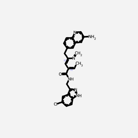 C=N/C(=C\C(=C/C)C(=O)NCc1n[nH]c2ccc(Cl)cc12)Cc1ccc2ncc(N)cc2c1